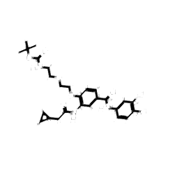 CC(C)(C)OC(=O)NCCOCCOc1ccc(C(=O)Nc2ccc(Cl)c(Cl)c2)cc1NC(=O)CC1CC1